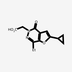 CCc1nn(CC(=O)O)c(=O)c2cc(C3CC3)oc12